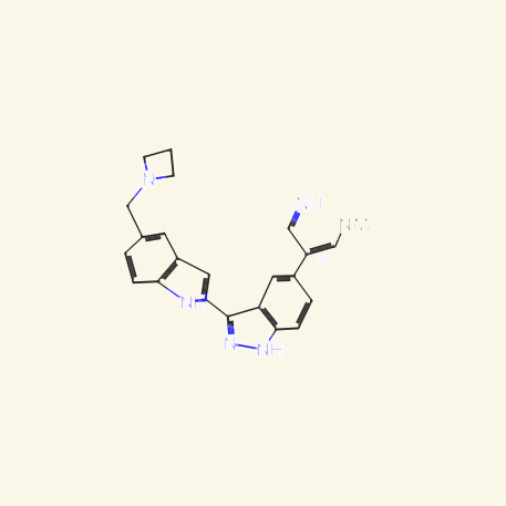 CN/C=C(\C=N)c1ccc2[nH]nc(-c3cc4cc(CN5CCC5)ccc4[nH]3)c2c1